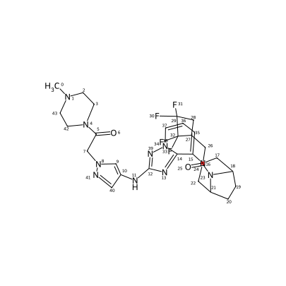 CN1CCN(C(=O)Cn2cc(Nc3nc4c(N5CC6CCC(C5)N6C(=O)CC5CC(F)(F)C5(F)F)cccn4n3)cn2)CC1